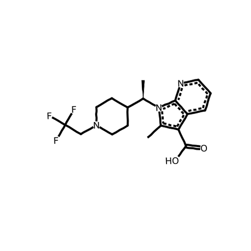 Cc1c(C(=O)O)c2cccnc2n1[C@H](C)C1CCN(CC(F)(F)F)CC1